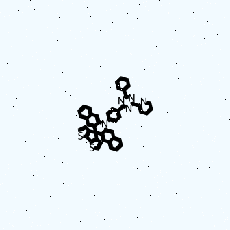 c1ccc(-c2nc(-c3ccc(N4c5cc6ccccc6cc5C5(c6cc7ccccc7cc64)c4ccsc4-c4sccc45)cc3)nc(-c3ccccn3)n2)cc1